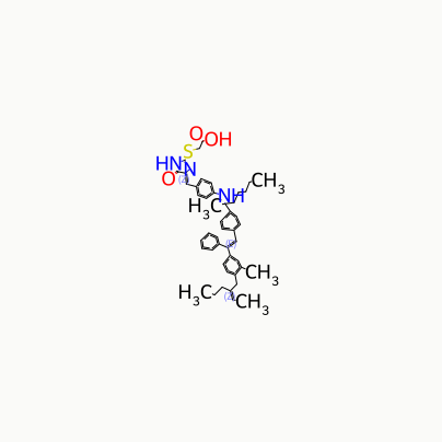 C/C=C(/CCC)Cc1ccc(/C(=C/c2ccc(C(C)(CCCCC)Nc3ccc(/C=C4\N=C(SCC(=O)O)NC4=O)cc3)cc2)c2ccccc2)cc1C